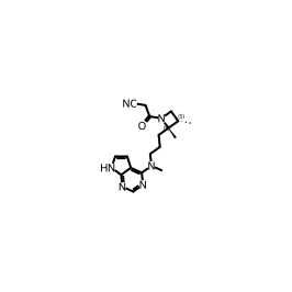 C[C@H]1CN(C(=O)CC#N)[C@@]1(C)CCCN(C)c1ncnc2[nH]ccc12